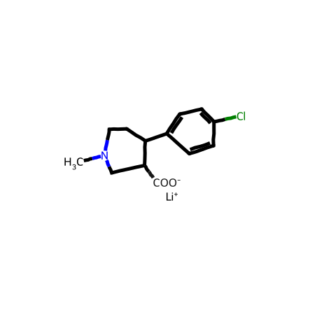 CN1CCC(c2ccc(Cl)cc2)C(C(=O)[O-])C1.[Li+]